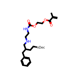 C=C(C)C(=O)OCCOC(=O)NCCNCC(CCCCCCCCCCCC)Cc1ccccc1